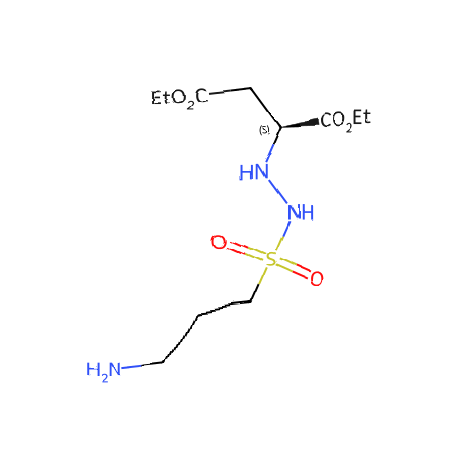 CCOC(=O)C[C@H](NNS(=O)(=O)CCCN)C(=O)OCC